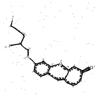 O=c1ccc2cc3ccc(OCC(I)CCI)cc3oc-2c1